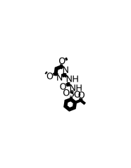 COc1cc(OC)nc(NC(=O)NS(=O)(=O)c2ccccc2C(C)=O)n1